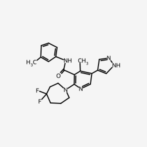 Cc1cccc(NC(=O)c2c(N3CCCC(F)(F)CC3)ncc(-c3cn[nH]c3)c2C)c1